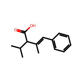 CC(=Cc1ccccc1)C(C(=O)O)C(C)C